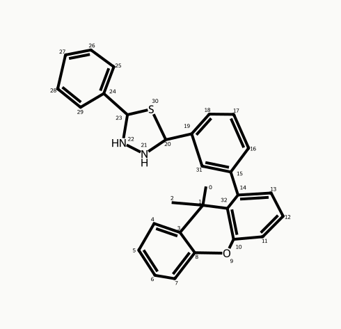 CC1(C)c2ccccc2Oc2cccc(-c3cccc(C4NNC(c5ccccc5)S4)c3)c21